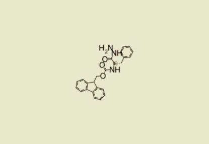 NNC(=O)[C@H](Cc1ccccc1)NC(=O)OCC1c2ccccc2-c2ccccc21